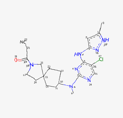 Cc1cc(Nc2nc(N(C)C3CCC4(CC3)CCN(C(=O)CC#N)C4)ncc2Cl)n[nH]1